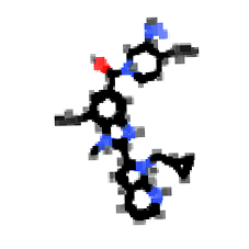 COc1cc(C(=O)N2CCC(OC)[C@H](N)C2)cc2nc(-c3cc4cccnc4n3CC3CC3)n(C)c12